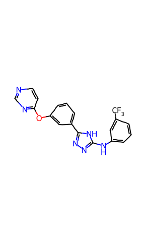 FC(F)(F)c1cccc(Nc2nnc(-c3cccc(Oc4ccncn4)c3)[nH]2)c1